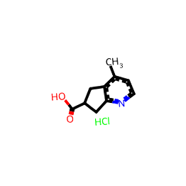 Cc1ccnc2c1CC(C(=O)O)C2.Cl